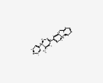 c1ccc2c(c1)Cc1cc(-c3ccc4c(n3)oc3ncccc34)ccc1-2